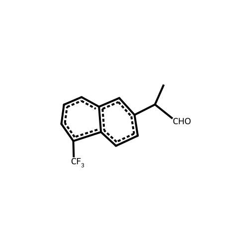 CC(C=O)c1ccc2c(C(F)(F)F)cccc2c1